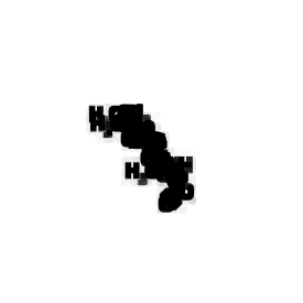 Cn1cc(-c2cccc(N3CCOc4cc(C(C)(C)C)c(Cl)cc4C3=O)c2CO)cc(Nc2ccc(C(=O)N3CCOCC3)cn2)c1=O